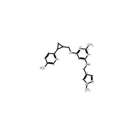 Cc1ccc(C2CC2COc2cc(NCc3cnn(C)c3)nc(C)n2)nc1